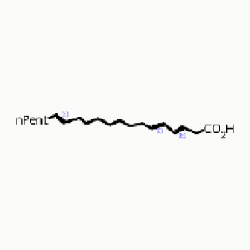 CCCCC/C=C/CCCCCCC/C=C/C=C/CC(=O)O